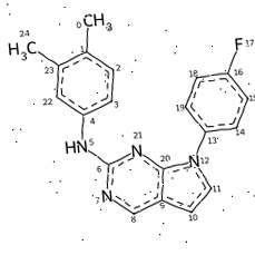 Cc1ccc(Nc2ncc3ccn(-c4ccc(F)cc4)c3n2)cc1C